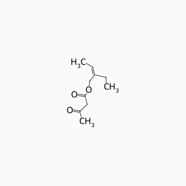 CC=C(CC)COC(=O)CC(C)=O